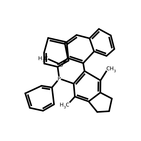 COc1ccc2ccccc2c1-c1c(C)c2c(c(C)c1P(c1ccccc1)c1ccccc1)CCC2